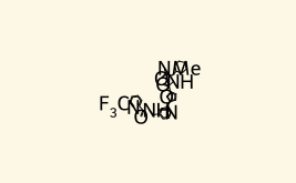 CNC(=O)[C@@H](NC(=O)c1ccc(-c2cc(CNC(=O)c3cccc(C(F)(F)F)n3)ccn2)o1)C1CCCCC1